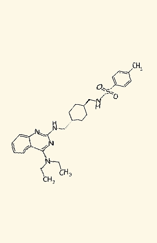 CCN(CC)c1nc(NC[C@H]2CC[C@H](CNS(=O)(=O)c3ccc(C)cc3)CC2)nc2ccccc12